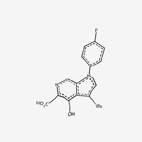 CC(C)(C)c1cn(-c2ccc(F)cc2)c2cnc(C(=O)O)c(O)c12